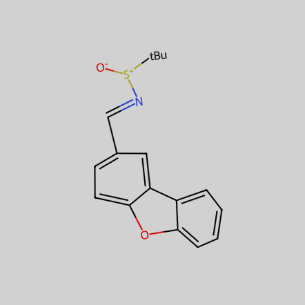 CC(C)(C)[S+]([O-])N=Cc1ccc2oc3ccccc3c2c1